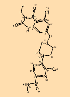 CCn1c(=O)[nH]c2cc(CN3CCN(c4ccc(C(=O)NC)nc4Cl)CC3)cc(Cl)c2c1=O